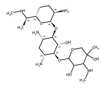 CNC1C(O)C(O[C@@H]2[C@@H](O)[C@H](O[C@H]3O[C@H]([C@@H](C)NC)CC[C@H]3N)[C@@H](N)C[C@H]2N)OCC1(C)O